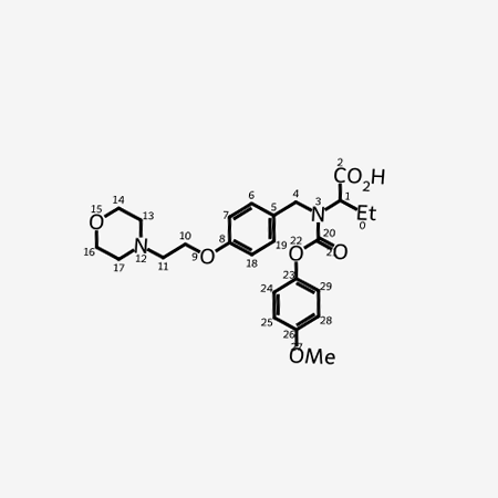 CCC(C(=O)O)N(Cc1ccc(OCCN2CCOCC2)cc1)C(=O)Oc1ccc(OC)cc1